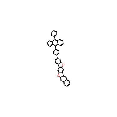 c1ccc(-c2c3ccccc3c(-c3ccc(-c4ccc5c(c4)oc4cc6c(cc45)oc4cc5ccccc5cc46)cc3)c3ccccc23)cc1